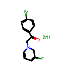 Br.O=C(CN1C=CC=C(F)C1)c1ccc(Br)cc1